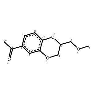 COCC1COc2cc(C(C)=O)ccc2O1